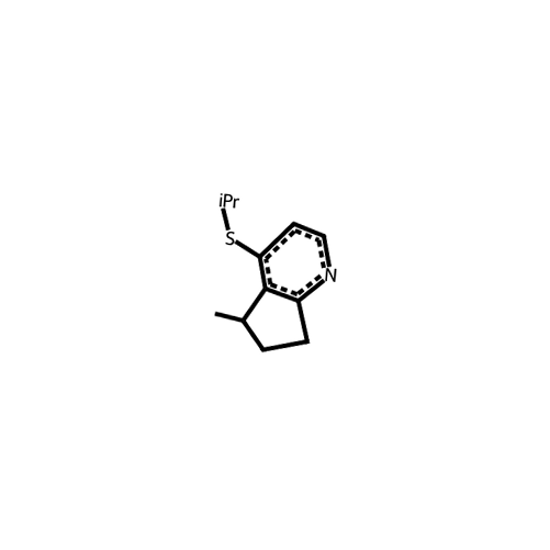 CC(C)Sc1ccnc2c1C(C)CC2